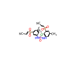 Cc1cc(NP(=O)(Cl)Nc2cc(C)cc(S(=O)(=O)C=CC#N)c2)cc(S(=O)(=O)C=CC#N)c1